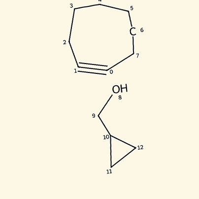 C1#CCCCCCC1.OCC1CC1